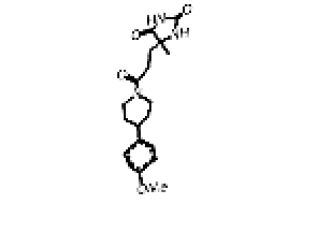 COc1ccc(C2CCN(C(=O)CCC3(C)NC(=O)NC3=O)CC2)cc1